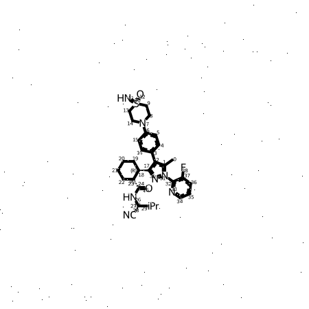 Cc1c(-c2ccc(N3CCS(=N)(=O)CC3)cc2)c([C@@H]2CCCC[C@H]2C(=O)N[C@H](C#N)C(C)C)nn1-c1ncccc1F